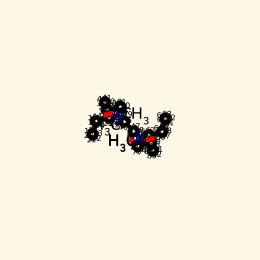 Cc1cc(-c2ccc(N(c3ccc(-c4cccc(-c5ccccc5)c4)cc3)c3c(C)cccc3-c3cccc4ccccc34)c(C)c2)ccc1N(c1ccc(-c2cccc(-c3ccccc3)c2)cc1)c1c(C)cccc1-c1cccc2ccccc12